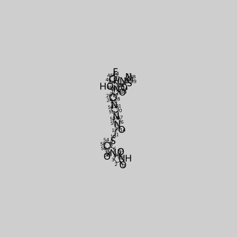 O=C1CCC(N2Cc3c(SCCCC(=O)N4CCN(C5CCN(c6ccc7c(c6)C(=O)N(C(C(=O)Nc6nccs6)c6cc(F)ccc6O)C7)CC5)CC4)cccc3C2=O)C(=O)N1